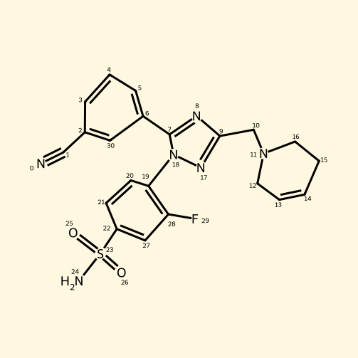 N#Cc1cccc(-c2nc(CN3CC=CCC3)nn2-c2ccc(S(N)(=O)=O)cc2F)c1